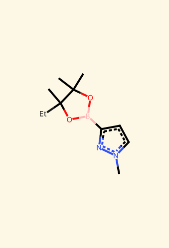 CCC1(C)OB(c2ccn(C)n2)OC1(C)C